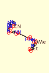 CCc1cc2c(cc1-c1cc3ccc(OC)c(OC(=O)N(C)CCNC(=O)OCCCCCCCCCCOC(=O)Nc4ccc(COC(=O)N(C)CCN(C)C(=O)n5ccc6c(N(C)[C@H]7CN(C(=O)CC#N)CC[C@H]7C)ncnc65)cc4)c3cn1)OCO2